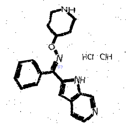 Cl.Cl.c1ccc(/C(=N\OC2CCNCC2)c2cc3ccncc3[nH]2)cc1